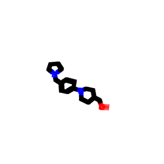 OCC1CCN(c2ccc(CN3CCCC3)cc2)CC1